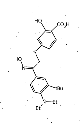 CCN(CC)c1ccc(C(CSc2ccc(C(=O)O)c(O)c2)=NO)cc1C(C)(C)C